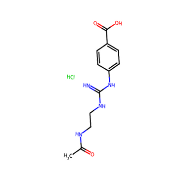 CC(=O)NCCNC(=N)Nc1ccc(C(=O)O)cc1.Cl